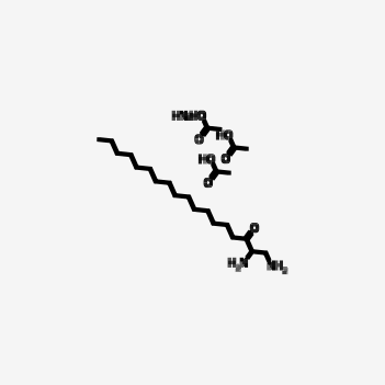 CC(=O)O.CC(=O)O.CC(=O)O.CCCCCCCCCCCCCCCC(=O)C(N)CN.[NaH]